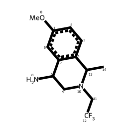 COc1ccc2c(c1)C(N)CN(CC(F)(F)F)C2C